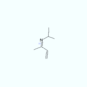 C=C/C(C)=N\C(C)C